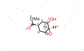 COC(=O)[C@H]1C[C@@H](O)[C@H]2O[C@H]2C1